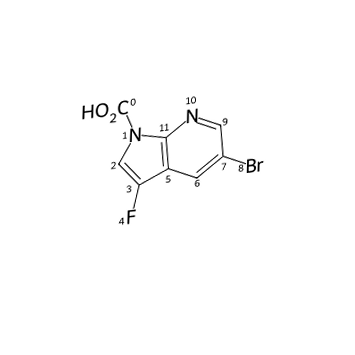 O=C(O)n1cc(F)c2cc(Br)cnc21